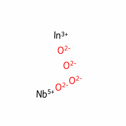 [In+3].[Nb+5].[O-2].[O-2].[O-2].[O-2]